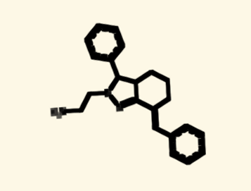 NCCN1N=C2C(=Cc3ccccc3)CCCC2C1c1ccccc1